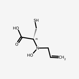 C=CCN(O)[C@@H](CS)C(=O)O